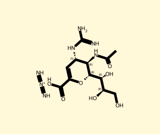 CC(=O)N[C@H]1[C@H]([C@H](O)[C@H](O)CO)OC(C(=O)O)=C[C@@H]1NC(=N)N.N=[N+]=N